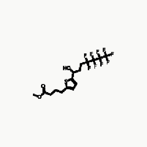 COC(=O)CCCc1ccc(C(O)CCC(F)(F)C(F)(F)C(F)(F)C(F)(F)F)s1